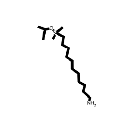 CC(C)O[Si](C)(C)CCCCCCCCCCCN